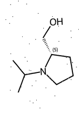 CC(C)N1CCC[C@H]1CO